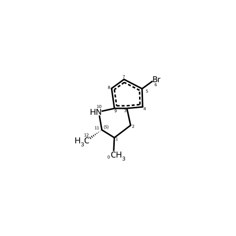 CC1Cc2cc(Br)ccc2N[C@H]1C